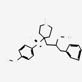 CCCCOc1ccc(S(=O)(=O)C2(CC(Cc3ccccc3)OC=O)CCNCC2)cc1